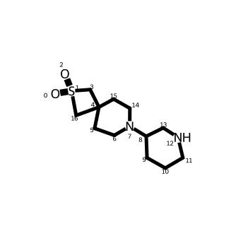 O=S1(=O)CC2(CCN(C3CCCNC3)CC2)C1